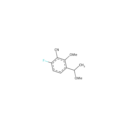 COc1c(C(C)OC)ccc(F)c1C#N